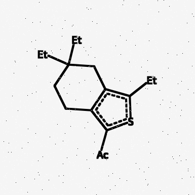 CCc1sc(C(C)=O)c2c1CC(CC)(CC)CC2